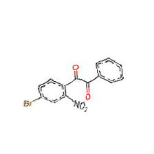 O=C(C(=O)c1ccc(Br)cc1[N+](=O)[O-])c1ccccc1